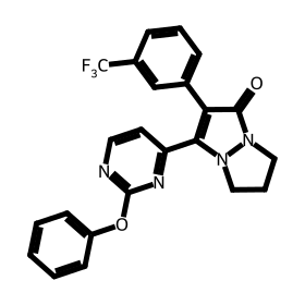 O=c1c(-c2cccc(C(F)(F)F)c2)c(-c2ccnc(Oc3ccccc3)n2)n2n1CCC2